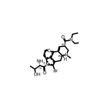 CCN(CC)C(=O)[C@@H]1C=C2c3cccc4c3c(c(Br)n4C(=O)[C@@H](N)C(C)O)C[C@H]2N(C)C1